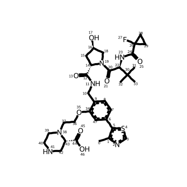 Cc1ncsc1-c1ccc(CNC(=O)[C@@H]2C[C@@H](O)CN2C(=O)[C@@H](NC(=O)C2(F)CC2)C(C)(C)C)c(OCCN2CCNC[C@H]2C(=O)O)c1